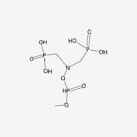 CO[PH](=O)ON(CP(=O)(O)O)CP(=O)(O)O